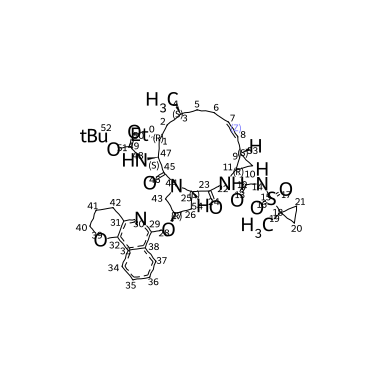 CC[C@@H]1C[C@@H](C)CC/C=C\[C@@H]2C[C@@]2(C(=O)NS(=O)(=O)C2(C)CC2)NC(=O)[C@@H]2C[C@@H](Oc3nc4c(c5ccccc35)OCCC4)CN2C(=O)[C@H]1NC(=O)OC(C)(C)C